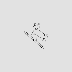 CC(=O)[O-].CC(=O)[O-].[O]=[Ge]=[O].[Zn+2]